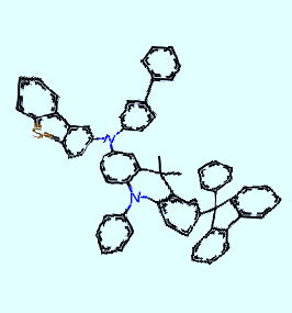 CC1(C)c2cc(N(c3ccc(-c4ccccc4)cc3)c3ccc4sc5ccccc5c4c3)ccc2N(c2ccccc2)c2ccc(C3(c4ccccc4)c4ccccc4-c4ccccc43)cc21